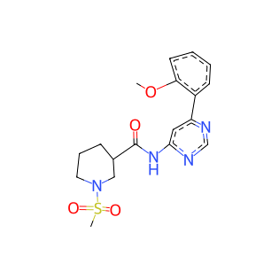 COc1ccccc1-c1cc(NC(=O)C2CCCN(S(C)(=O)=O)C2)ncn1